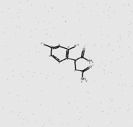 NC(=O)CC(C(N)=O)c1ccc(I)cc1F